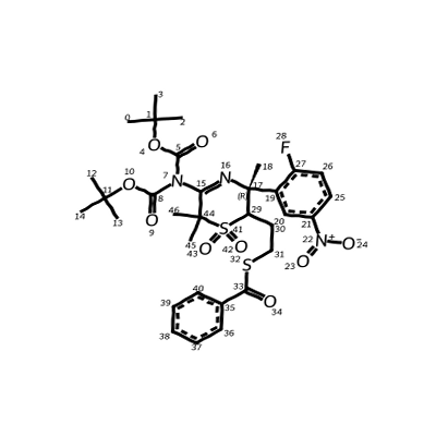 CC(C)(C)OC(=O)N(C(=O)OC(C)(C)C)C1=N[C@](C)(c2cc([N+](=O)[O-])ccc2F)C(CCSC(=O)c2ccccc2)S(=O)(=O)C1(C)C